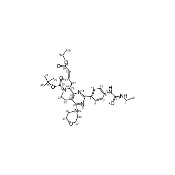 CCNC(=O)Nc1ccc(-c2nc3c(c(N4CCOCC4)n2)CCN(C(=O)OC(C)(C)C)[C@H]3CC=CC(=O)OCC)cc1